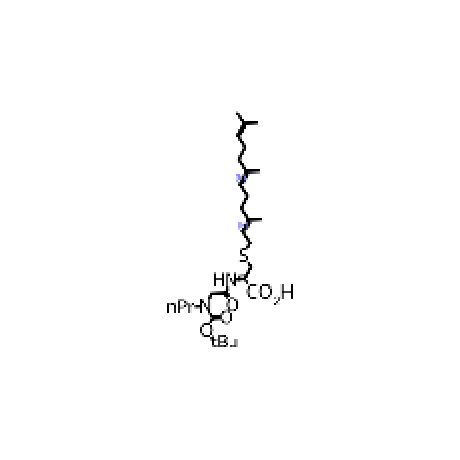 CCCN(CC(=O)N[C@@H](CSC/C=C(\C)CC/C=C(\C)CCC=C(C)C)C(=O)O)C(=O)OC(C)(C)C